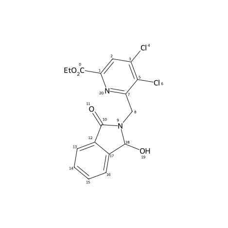 CCOC(=O)c1cc(Cl)c(Cl)c(CN2C(=O)c3ccccc3C2O)n1